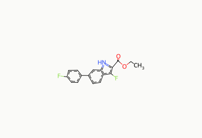 CCOC(=O)c1[nH]c2cc(-c3ccc(F)cc3)ccc2c1F